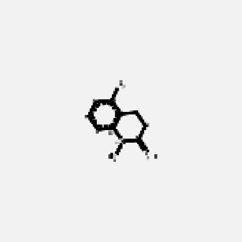 C=C1CCc2c(C(C)C)cccc2N1C(C)C